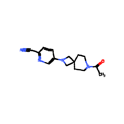 CC(=O)N1CCC2(CC1)CN(c1ccc(C#N)nc1)C2